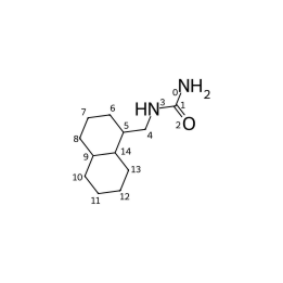 NC(=O)NCC1CCCC2CCCCC21